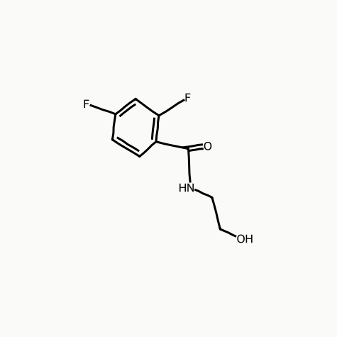 O=C(NCCO)c1ccc(F)cc1F